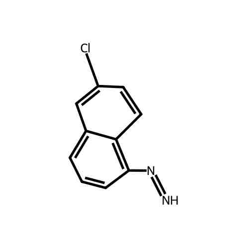 N=Nc1cccc2cc(Cl)ccc12